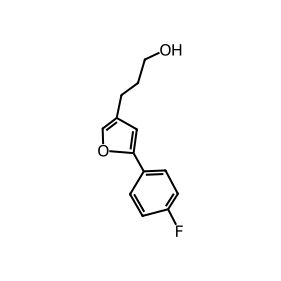 OCCCc1coc(-c2ccc(F)cc2)c1